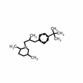 CC1CCC(C)N(CC(C)Cc2ccc(C(C)(C)C)cc2)C1